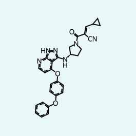 N#C/C(=C\C1CC1)C(=O)N1CC[C@@H](Nc2n[nH]c3nccc(Oc4ccc(Oc5ccccc5)cc4)c23)C1